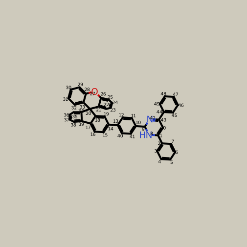 C1=C(c2ccccc2)NC(c2ccc(-c3ccc4c(c3)C3(c5ccccc5Oc5ccccc53)c3ccccc3-4)cc2)N=C1c1ccccc1